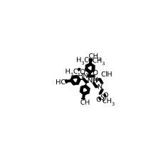 C#Cc1ccc([C@H]2NC(C(=O)N3CCN(CCS(C)(=O)=O)CC3)(c3ccc(C(C)(C)C)cc3OCC)N[C@H]2c2ccc(C#C)cc2)cc1.Cl